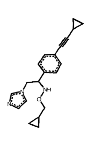 C(#CC1CC1)c1ccc(C(Cn2ccnc2)NOCC2CC2)cc1